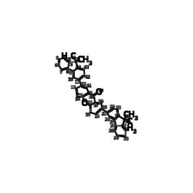 CC1(C)c2ccccc2-c2cc(-c3ccc4oc5ccc(-c6ccc7c(c6)-c6ccccc6C7(C)C)cc5c(=O)c4c3)ccc21